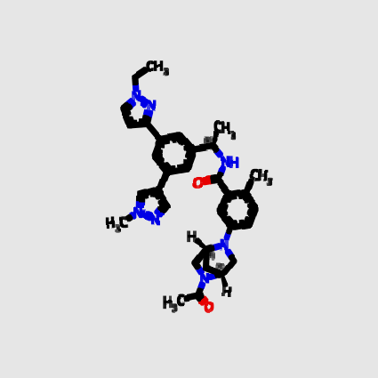 CCn1ccc(-c2cc(-c3cnn(C)c3)cc([C@@H](C)NC(=O)c3cc(N4C[C@H]5C[C@@H]4CN5C(C)=O)ccc3C)c2)n1